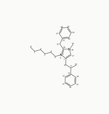 CCCCCC[n+]1c(CC(C)c2ccccc2)cn(C)c1Cc1ccccc1